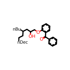 CCCCCCCCCCCCC(CCCC)CC(O)COc1ccccc1C(=O)c1ccccc1